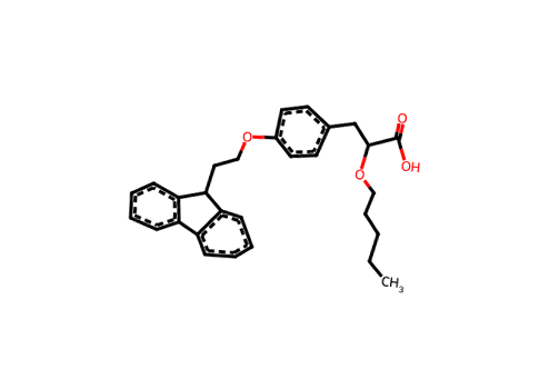 CCCCCOC(Cc1ccc(OCCC2c3ccccc3-c3ccccc32)cc1)C(=O)O